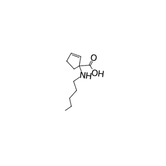 CCCCCNC1(C(=O)O)C=CCC1